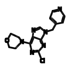 Clc1nc(N2CCOCC2)c2ncn(Cc3ccncc3)c2n1